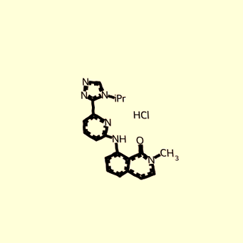 CC(C)n1cnnc1-c1cccc(Nc2cccc3ccn(C)c(=O)c23)n1.Cl